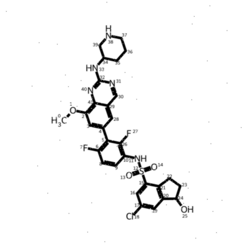 COc1cc(-c2c(F)ccc(NS(=O)(=O)c3cc(Cl)cc4c3CCC4O)c2F)cc2cnc(NC3CCCNC3)nc12